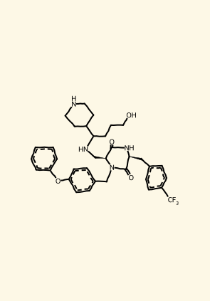 O=C1N[C@@H](Cc2ccc(C(F)(F)F)cc2)C(=O)N(Cc2ccc(Oc3ccccc3)cc2)[C@H]1CNC(CCCO)C1CCNCC1